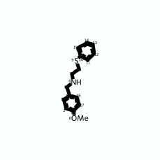 COc1ccc(CNCCSc2ccccc2)cc1